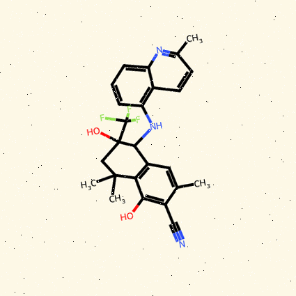 Cc1ccc2c(NC3c4cc(C)c(C#N)c(O)c4C(C)(C)CC3(O)C(F)(F)F)cccc2n1